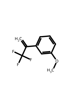 C=C(c1cccc(OC)c1)C(F)(F)F